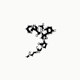 CNCCNC(=O)CN1CCC(n2cc(NC(=O)c3cnn4cccnc34)c(-c3cc(Cl)ccc3OC(F)F)n2)C1=O